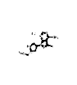 COC[C@H]1CC(n2nc(I)c3c(N)ncnc32)CN1.Cl